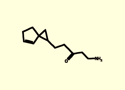 NCCC(=O)CCC1CC12C=CCC2